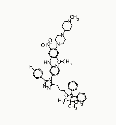 COc1cc(N2CCN(C3CCN(C)CC3)CC2)c([N+](=O)[O-])cc1Nc1cc(-n2c(CCCO[Si](c3ccccc3)(c3ccccc3)C(C)(C)C)nnc2-c2ccc(F)cc2)ccn1